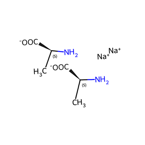 C[C@H](N)C(=O)[O-].C[C@H](N)C(=O)[O-].[Na+].[Na+]